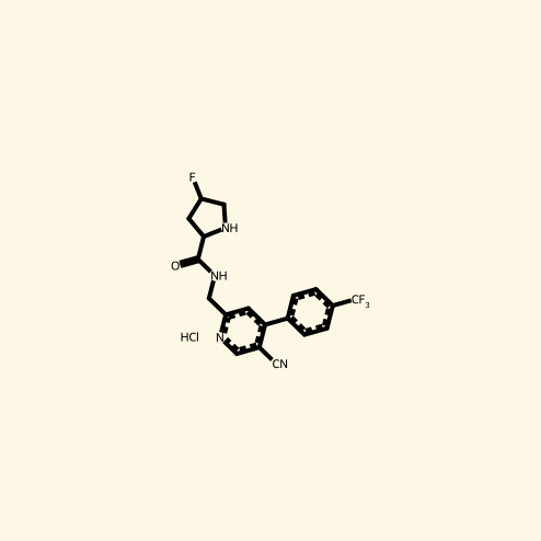 Cl.N#Cc1cnc(CNC(=O)C2CC(F)CN2)cc1-c1ccc(C(F)(F)F)cc1